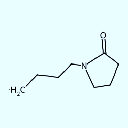 [CH2]CCCN1CCCC1=O